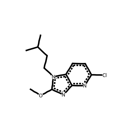 COc1nc2nc(Cl)ccc2n1CCC(C)C